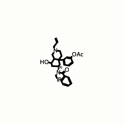 C=CCN1CCC2(c3cccc(OC(C)=O)c3)C[C@@H](N(CC(C)C)C(=O)c3ccccc3)CC(O)C2C1